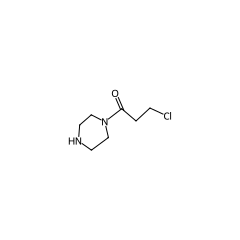 O=C(CCCl)N1CCNCC1